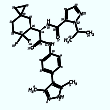 Cc1n[nH]c(C)c1-c1ccc(NC(=O)[C@@H](NC(=O)c2ccnn2C(C)C)[C@@H]2CC3(CC3)CCC2(F)F)cc1